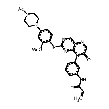 C=CC(=O)Nc1cccc(-n2c(=O)cnc3cnc(Nc4ccc(N5CCN(C(C)=O)CC5)cc4OC)nc32)c1